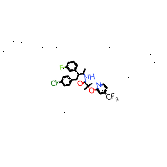 CC(NC(=O)C(C)(C)Oc1cc(C(F)(F)F)ccn1)C(Cc1ccc(Cl)cc1)c1cccc(F)c1